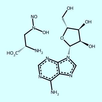 N[C@@H](CN(O)N=O)C(=O)O.Nc1ncnc2c1ncn2[C@@H]1O[C@H](CO)[C@@H](O)[C@H]1O